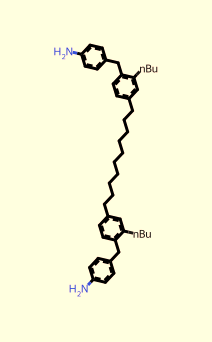 CCCCc1cc(CCCCCCCCCCc2ccc(Cc3ccc(N)cc3)c(CCCC)c2)ccc1Cc1ccc(N)cc1